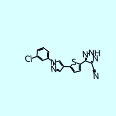 N#Cc1n[nH]nc1-c1ccc(-c2cnn(-c3cccc(Cl)c3)c2)s1